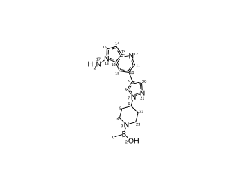 CB(O)N1CCC(n2cc(-c3cnc4ccn(N)c4c3)cn2)CC1